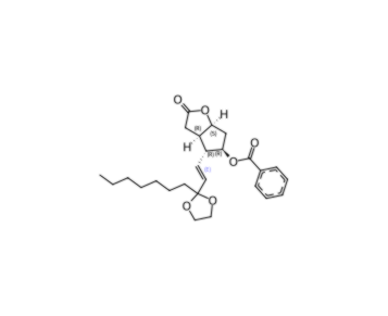 CCCCCCCC1(/C=C/[C@@H]2[C@H]3CC(=O)O[C@H]3C[C@H]2OC(=O)c2ccccc2)OCCO1